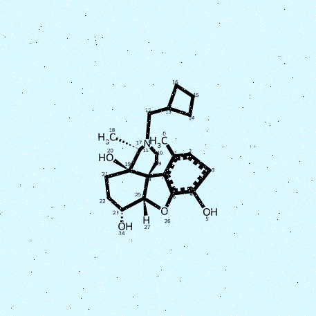 Cc1ccc(O)c2c1[C@@]13CCN(CC4CCC4)[C@@H](C)[C@@]1(O)CC[C@@H](O)[C@H]3O2